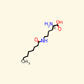 CCCCCCCC(=O)NCCCC[C@H](N)C(=O)O